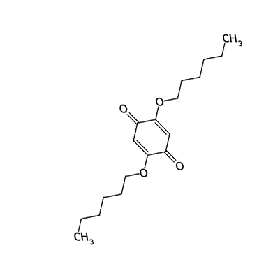 CCCCCCOC1=CC(=O)C(OCCCCCC)=CC1=O